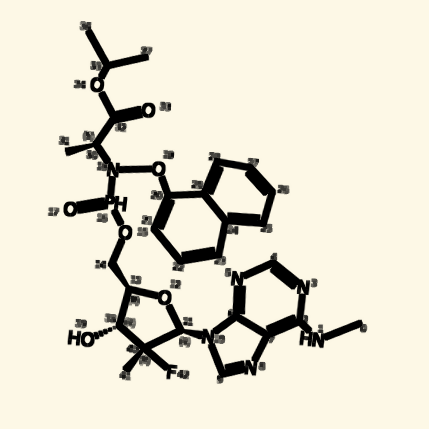 CNc1ncnc2c1ncn2[C@@H]1O[C@H](CO[PH](=O)N(Oc2cccc3ccccc23)[C@@H](C)C(=O)OC(C)C)[C@@H](O)[C@@]1(C)F